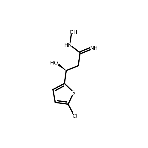 N=C(C[C@H](O)c1ccc(Cl)s1)NO